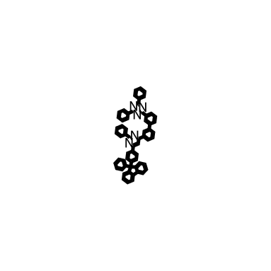 c1ccc(-c2nc(-c3ccc(C4(c5ccccc5)c5ccccc5-c5ccccc54)cc3)cc(-c3cccc(-c4cccc(-c5nc(-c6ccccc6)nc(-c6ccccc6)n5)c4)c3)n2)cc1